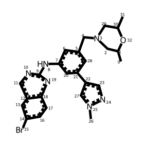 CC1CN(Cc2cc(Nc3ncc4cc(Br)ccc4n3)cc(-c3cnn(C)c3)c2)CC(C)O1